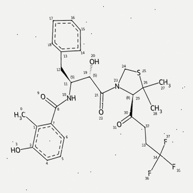 Cc1c(O)cccc1C(=O)N[C@@H](Cc1ccccc1)[C@H](O)C(=O)N1CSC(C)(C)[C@H]1C(=O)CCC(F)(F)F